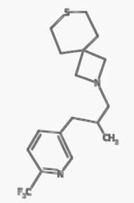 CC(Cc1ccc(C(F)(F)F)nc1)CN1CC2(CCSCC2)C1